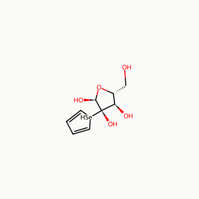 OC[C@H]1O[C@H](O)[C@@](O)([SeH]2C=CC=C2)[C@@H]1O